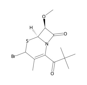 CO[C@H]1C(=O)N2C(C(=O)C(C)(C)C)=C(C)C(Br)S[C@@H]12